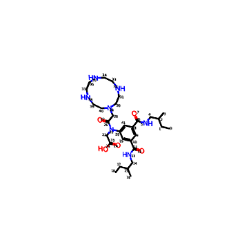 CCC(C)CNC(=O)c1cc(C(=O)NCC(C)CC)cc(N(CC(=O)O)C(=O)CN2CCNCCNCCNCC2)c1